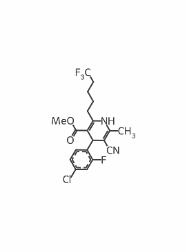 COC(=O)C1=C(CCCCC(F)(F)F)NC(C)=C(C#N)C1c1ccc(Cl)cc1F